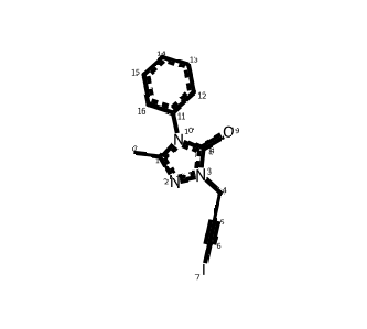 Cc1nn(CC#CI)c(=O)n1-c1ccccc1